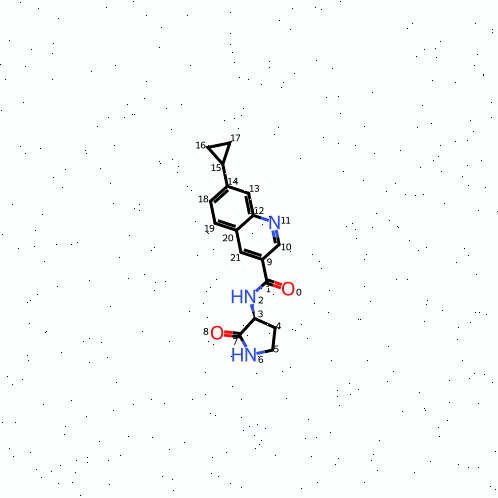 O=C(N[C@H]1CCNC1=O)c1cnc2cc(C3CC3)ccc2c1